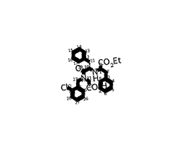 CCOC(=O)C(Cc1ccccc1)N[C@@H](Cc1ccccc1)C(=O)N(CC(=O)O)Cc1ccccc1Cl